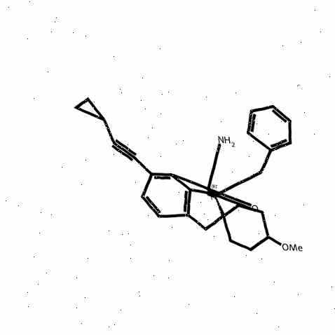 COC1CCC2(CC1)Cc1ccc(C#CC3CC3)cc1[C@]21N=C(N)N(Cc2ccccc2)C1=O